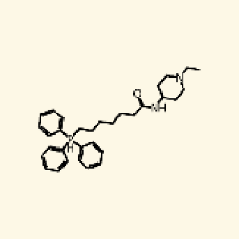 CCN1CCC(NC(=O)CCCCCC[PH](c2ccccc2)(c2ccccc2)c2ccccc2)CC1